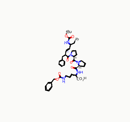 CC(C)CC(/C=C/C(Cc1ccccc1)C(=O)N1CCC[C@H]1C(=O)N1CCC[C@H]1C(=O)NC(CCCNC(=O)OCc1ccccc1)C(=O)O)NC(=O)OC(C)(C)C